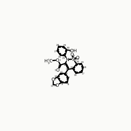 COC(=O)C1=C(c2ccc3c(c2)OCO3)c2ccccc2S(=O)(=O)N1c1ccccc1O